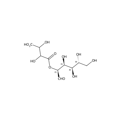 O=C[C@@H](OC(=O)C(O)C(O)C(=O)O)[C@@H](O)[C@H](O)[C@H](O)CO